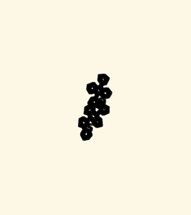 c1ccc(-c2c3ccccc3c(-c3cccc4c3oc3cccc(-c5c6ccccc6c(-c6cccc7c6sc6ccccc67)c6ccccc56)c34)c3ccccc23)cc1